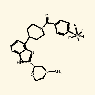 CN1CCO[C@H](c2nc3c(C4CCN(C(=O)c5ccc(S(F)(F)(F)(F)F)cc5)CC4)ccnc3[nH]2)C1